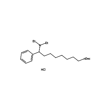 CCCCCCCCCCCCCCCCCC(c1ccccc1)N(CC)CC.Cl